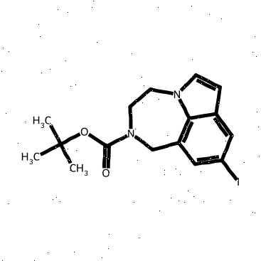 CC(C)(C)OC(=O)N1CCn2ccc3cc(I)cc(c32)C1